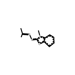 CC(C)=NN=c1oc2ccccc2n1C